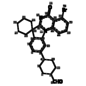 O=CC1CCC(c2ccc3c(c2)-n2c(nc(=O)c4c(Br)cccc42)C32CCCCC2)CC1